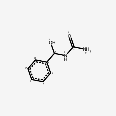 NC(=O)NC(O)c1ccccc1